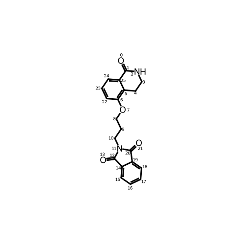 O=C1NCCc2c(OCCCN3C(=O)c4ccccc4C3=O)cccc21